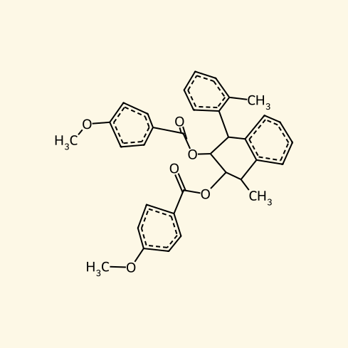 COc1ccc(C(=O)OC2C(C)c3ccccc3C(c3ccccc3C)C2OC(=O)c2ccc(OC)cc2)cc1